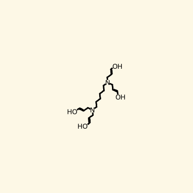 OC=CCN(CC=CO)CCCCCCN(CC=CO)CC=CO